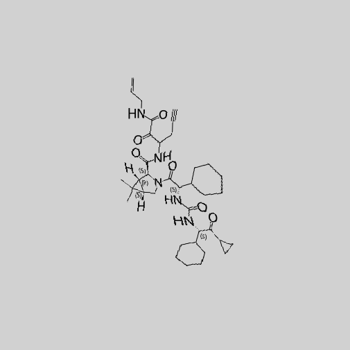 C#CCC(NC(=O)[C@@H]1[C@@H]2[C@H](CN1C(=O)[C@@H](NC(=O)N[C@H](C(=O)C1CC1)C1CCCCC1)C1CCCCC1)C2(C)C)C(=O)C(=O)NCC=C